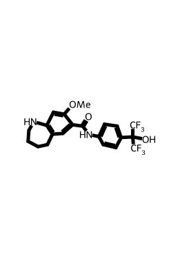 COc1cc2c(cc1C(=O)Nc1ccc(C(O)(C(F)(F)F)C(F)(F)F)cc1)CCCCN2